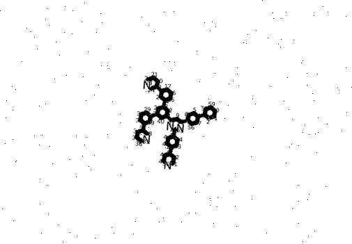 c1ccc(-c2ccc(-c3cc(-c4cc(-c5cccc(-c6cccnc6)c5)cc(-c5cccc(-c6cccnc6)c5)c4)nc(-c4ccc(-c5ccncc5)cc4)n3)cc2)cc1